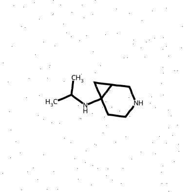 CC(C)NC12CCNCC1C2